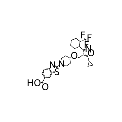 O=C(O)c1ccc2nc(N3CCC(OCc4c(C5CCCCC5C(F)(F)F)noc4C4CC4)CC3)sc2c1